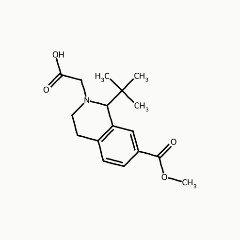 COC(=O)c1ccc2c(c1)C(C(C)(C)C)N(CC(=O)O)CC2